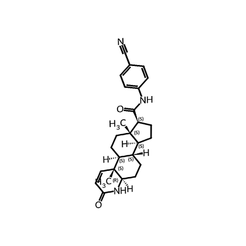 C[C@]12C=CC(=O)N[C@@H]1CC[C@@H]1[C@@H]2CC[C@]2(C)[C@@H](C(=O)Nc3ccc(C#N)cc3)CC[C@@H]12